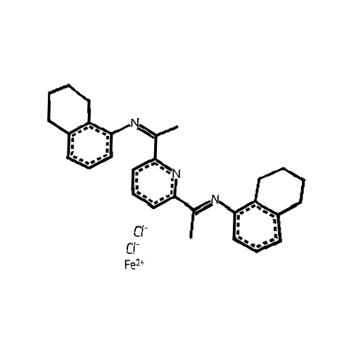 CC(=Nc1cccc2c1CCCC2)c1cccc(C(C)=Nc2cccc3c2CCCC3)n1.[Cl-].[Cl-].[Fe+2]